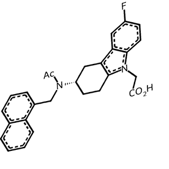 CC(=O)N(Cc1cccc2ccccc12)[C@H]1CCc2c(c3cc(F)ccc3n2CC(=O)O)C1